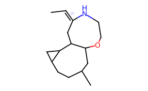 C/C=C1\CC2C(CC(C)CCC3CC32)OCCN1